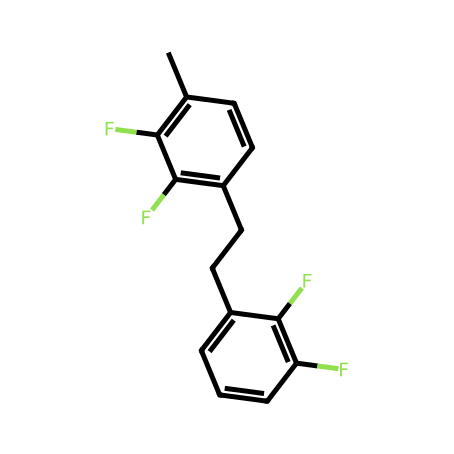 Cc1ccc(CCc2cccc(F)c2F)c(F)c1F